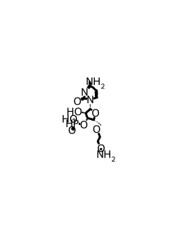 NOCCOC[C@H]1O[C@@H](n2ccc(N)nc2=O)[C@H](O)[C@@H]1O[PH](=O)O